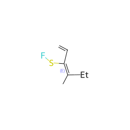 C=C/C(SF)=C(/C)CC